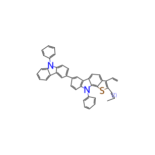 C=Cc1c(/C=C\C)sc2c1ccc1c3cc(-c4ccc5c(c4)c4ccccc4n5-c4ccccc4)ccc3n(-c3ccccc3)c12